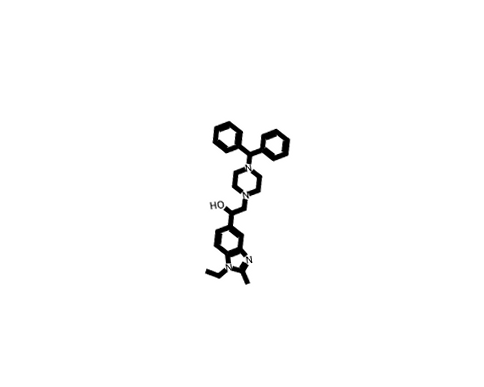 CCn1c(C)nc2cc(C(O)CN3CCN(C(c4ccccc4)c4ccccc4)CC3)ccc21